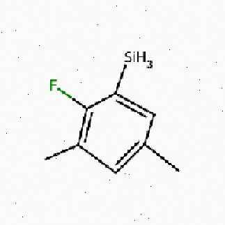 Cc1cc(C)c(F)c([SiH3])c1